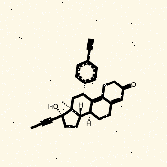 C#Cc1ccc([C@H]2C[C@@]3(C)[C@@H](CC[C@@]3(O)C#CC)[C@@H]3CCC4=CC(=O)CCC4=C32)cc1